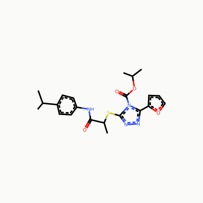 CC(C)OC(=O)n1c(SC(C)C(=O)Nc2ccc(C(C)C)cc2)nnc1-c1ccco1